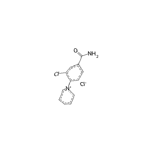 NC(=O)c1ccc(-[n+]2ccccc2)c(Cl)c1.[Cl-]